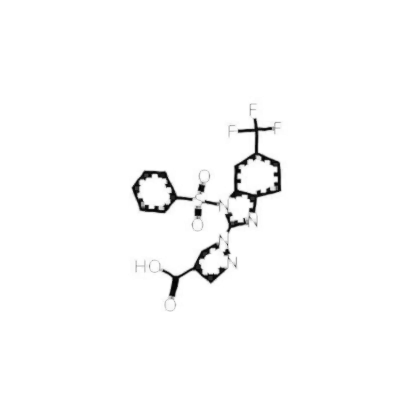 O=C(O)c1cnn(-c2nc3ccc(C(F)(F)F)cc3n2S(=O)(=O)c2ccccc2)c1